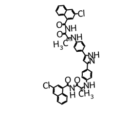 C[C@H](Nc1ccc(-c2cc(-c3ccc(N[C@@H](C)C(=O)NC(=O)c4cc(Cl)cc5ccccc45)cc3)[nH]n2)cc1)C(=O)NC(=O)c1cc(Cl)cc2ccccc12